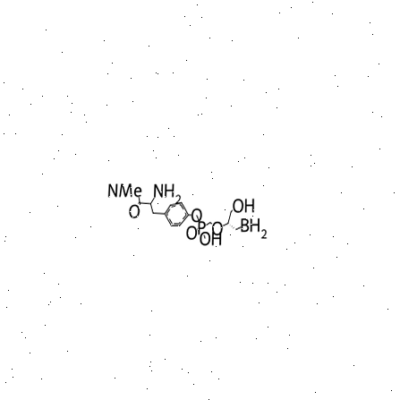 BC[C@@H](CO)OCP(=O)(O)Oc1ccc(CC(N)C(=O)NC)cc1